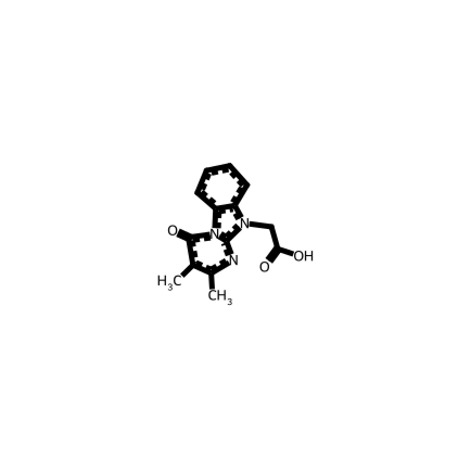 Cc1nc2n(CC(=O)O)c3ccccc3n2c(=O)c1C